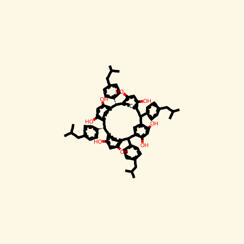 CC(C)Cc1ccc(C2c3cc(c(O)cc3O)C(c3ccc(CC(C)C)cc3)c3cc(c(O)cc3O)[C@H](c3ccc(CC(C)C)cc3)c3cc(c(O)cc3O)[C@H](c3ccc(CC(C)C)cc3)c3cc2c(O)cc3O)cc1